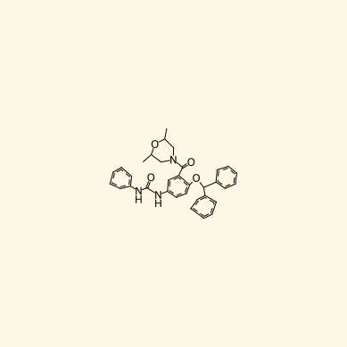 CC1CN(C(=O)c2cc(NC(=O)Nc3ccccc3)ccc2OC(c2ccccc2)c2ccccc2)CC(C)O1